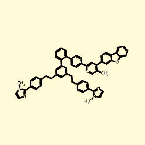 Cc1cnc(-c2ccc(-c3ccccc3-c3cc(CCc4ccc(-c5nccn5C)cc4)cc(CCc4ccc(-c5nccn5C)cc4)c3)cc2)cc1-c1ccc2c(c1)oc1ccccc12